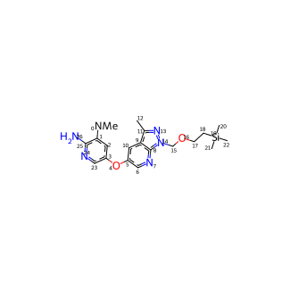 CNc1cc(Oc2cnc3c(c2)c(C)nn3COCC[Si](C)(C)C)cnc1N